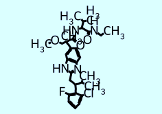 CCNC(=O)C(NC(=O)C(C)(COC)c1ccc2nc(CC(c3c(F)cccc3Cl)C(C)C)[nH]c2c1)C(C)C